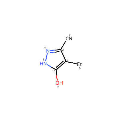 CCc1c(C#N)n[nH]c1O